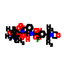 BC(B)(c1ccc(C(O)(O)Nc2cccc3c2C(O)(O)N(C(C(=O)NC)C(B)(O)C(B)(O)C=O)C3=O)c(F)c1)N1CCOCC1